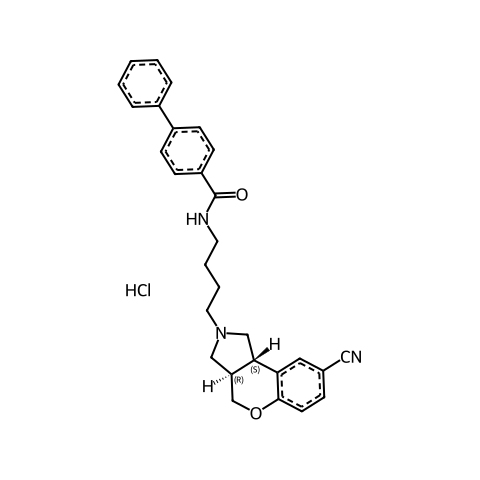 Cl.N#Cc1ccc2c(c1)[C@H]1CN(CCCCNC(=O)c3ccc(-c4ccccc4)cc3)C[C@@H]1CO2